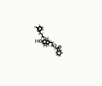 Cc1cccc(CC/C=C/[C@@H]2[C@H]3CC(CCOCC(=O)N4CCCCC4)=C[C@H]3C[C@H]2O)c1